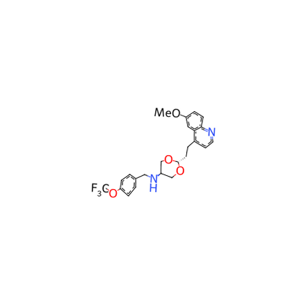 COc1ccc2nccc(CC[C@H]3OC[C@H](NCc4ccc(OC(F)(F)F)cc4)CO3)c2c1